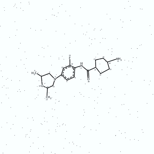 CC1CN(c2ccc(NC(=O)C3CCC(N)CC3)c(F)c2)CC(C)O1